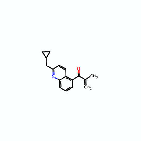 C=C(C)C(=O)c1cccc2nc(CC3CC3)ccc12